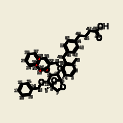 Cc1ccc([C@]23OC[C@](C)(O2)[C@@H](OCc2ccccc2)[C@H](OCc2ccccc2)[C@H]3OCc2ccccc2)cc1Cc1ccc(CCCC(=O)O)cc1